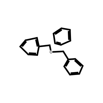 c1ccc(COCc2ccccc2)cc1.c1ccccc1